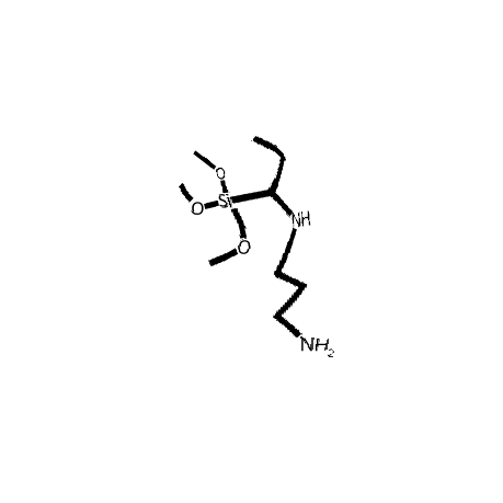 CCC(NCCCN)[Si](OC)(OC)OC